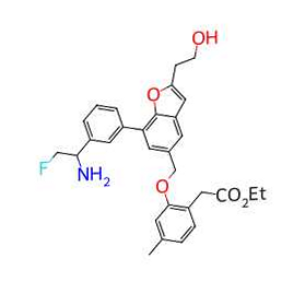 CCOC(=O)Cc1ccc(C)cc1OCc1cc(-c2cccc(C(N)CF)c2)c2oc(CCO)cc2c1